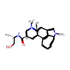 C[C@@H](CO)NC(=O)[C@@H]1C=C2c3cccc4c3c(cn4C)C[C@H]2N(C)C1